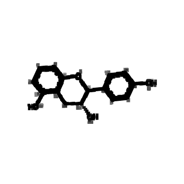 Oc1ccc(C2Oc3cccc(O)c3C[C@H]2O)cc1